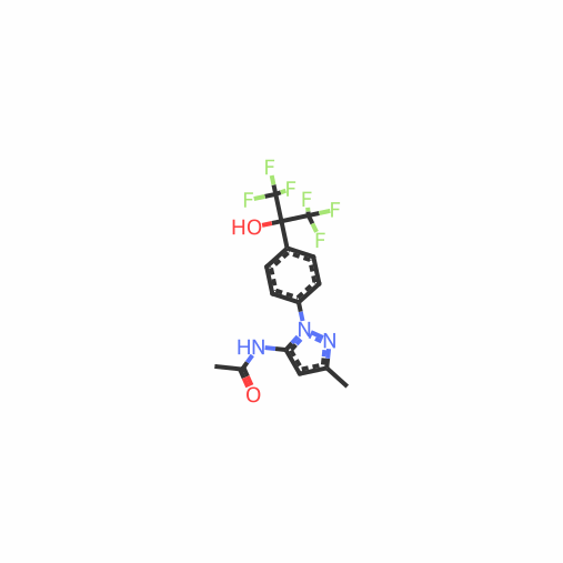 CC(=O)Nc1cc(C)nn1-c1ccc(C(O)(C(F)(F)F)C(F)(F)F)cc1